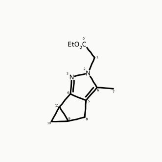 CCOC(=O)Cn1nc2c(c1C)CC1CC21